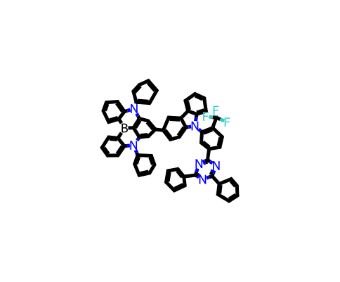 FC(F)(F)c1ccc(-c2nc(-c3ccccc3)nc(-c3ccccc3)n2)cc1-n1c2ccccc2c2cc(-c3cc4c5c(c3)N(c3ccccc3)c3ccccc3B5c3ccccc3N4c3ccccc3)ccc21